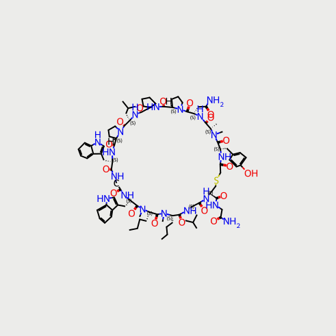 CCCC[C@H]1C(=O)N(C)[C@@H](CCCC)C(=O)N[C@@H](CC(C)C)C(=O)N[C@H](C(=O)NCC(N)=O)CSCC(=O)N[C@@H](Cc2ccc(O)cc2)C(=O)N(C)[C@@H](C)C(=O)N[C@@H](CC(N)=O)C(=O)N2CCC[C@H]2C(=O)NC2(CCCC2)C(=O)N[C@@H](CC(C)C)C(=O)N2CCC[C@H]2C(=O)N[C@@H](Cc2c[nH]c3ccccc23)C(=O)NCC(=O)N[C@@H](Cc2c[nH]c3ccccc23)C(=O)N1C